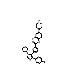 O=C(Nc1ccc(N2CCNCC2)cc1F)c1ccc(-c2c(-c3ccc(F)cc3)ncn2C2CCCC2)o1